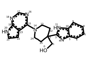 OCC1(c2nc3ccccc3[nH]2)CCN(c2ncnc3[nH]ccc23)CC1